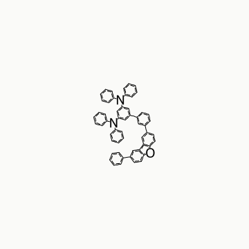 c1ccc(-c2ccc3oc4ccc(-c5cccc(-c6cc(N(c7ccccc7)c7ccccc7)cc(N(c7ccccc7)c7ccccc7)c6)c5)cc4c3c2)cc1